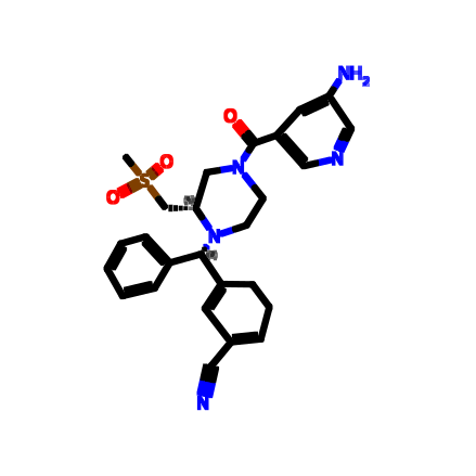 CS(=O)(=O)C[C@@H]1CN(C(=O)c2cncc(N)c2)CCN1[C@H](C1=CC(C#N)=CCC1)c1ccccc1